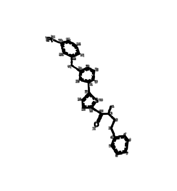 CC(CCc1ccccc1)C(=O)c1ccc(-c2cccc(Cc3cccc(C(C)C)c3)c2)s1